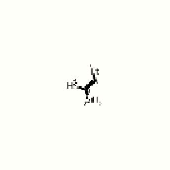 CCC=C([SiH3])S